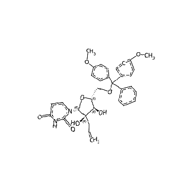 C=CC[C@@]1(O)[C@H](O)[C@@H](COC(c2ccccc2)(c2ccc(OC)cc2)c2ccc(OC)cc2)O[C@H]1n1ccc(=O)[nH]c1=O